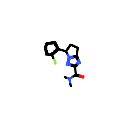 CN(C)C(=O)c1nc2n(n1)C(c1ccccc1F)CC2